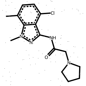 Cc1ccc(Cl)c2c(NC(=O)CN3CCCC3)nn(C)c12